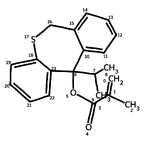 C=C(C)C(=O)OC1(C(C)C)c2ccccc2CSc2ccccc21